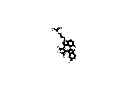 N=C(N)SCCCn1cc(C2=C(c3c[nH]c4ccc(F)cc34)C(=O)NC2=O)c2cc(F)ccc21